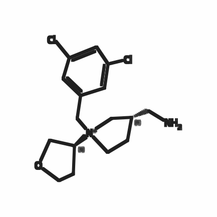 NC[C@@H]1CC[N+](Cc2cc(Cl)cc(Cl)c2)([C@H]2CCOC2)C1